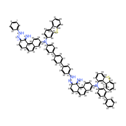 N=C1/C(=N\Nc2ccccc2)C=Cc2ccc3cc(N(c4ccc(-c5ccc(-c6ccc(N/N=C7/C=Cc8ccc9cc(N(c%10ccc(-c%11ccccc%11)cc%10)c%10cccc%11sc%12ccccc%12c%10%11)ccc9c8C7=N)cc6)cc5)cc4)c4ccc5c(c4)sc4ccccc45)ccc3c21